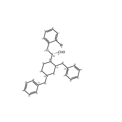 O=C[C@@H](Oc1ccccc1Br)N1CCN(Cc2ccccc2)CC1Cc1ccccc1